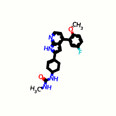 CNC(=O)NC1CC=C(c2cc3c(-c4cc(F)ccc4OC)ccnc3[nH]2)CC1